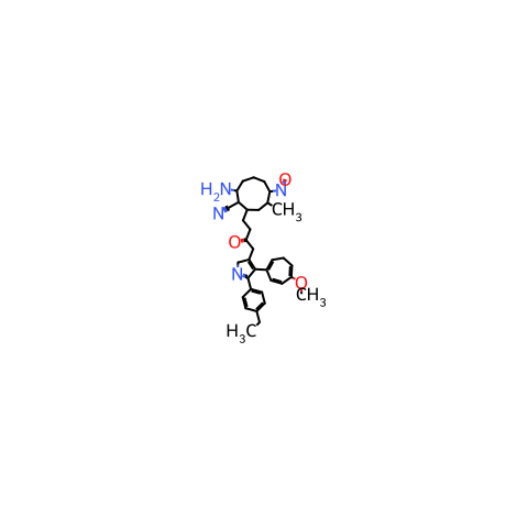 CCc1ccc(C2=NCC(CC(=O)CCC3CC(C)C(N=O)CCCC(N)C3C#N)=C2C2=CCC=C(OC)C=C2)cc1